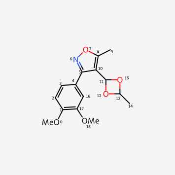 COc1ccc(-c2noc(C)c2C2OC(C)O2)cc1OC